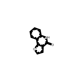 O=c1[nH]c2ccccc2c2occc12